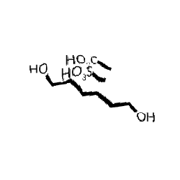 CC(=O)O.CS(=O)(=O)O.OCCCCCCO